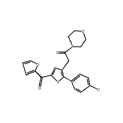 O=C(c1ccco1)c1cc(CC(=O)N2CCOCC2)c(-c2ccc(Cl)cc2)s1